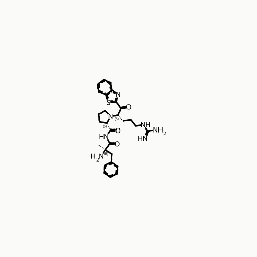 C[C@@](N)(Cc1ccccc1)C(=O)NC(=O)[C@@H]1CCCN1[C@@H](CCCNC(=N)N)C(=O)c1nc2ccccc2s1